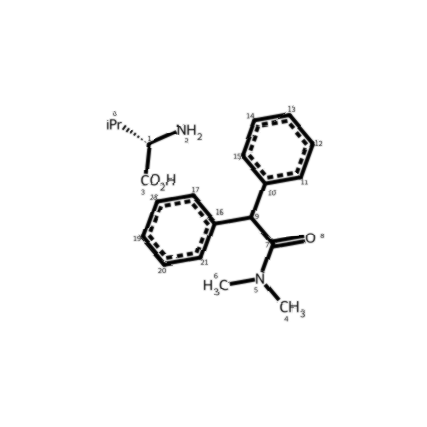 CC(C)[C@H](N)C(=O)O.CN(C)C(=O)C(c1ccccc1)c1ccccc1